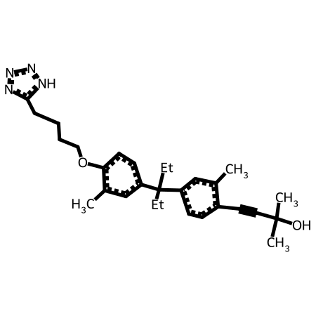 CCC(CC)(c1ccc(C#CC(C)(C)O)c(C)c1)c1ccc(OCCCCc2nnn[nH]2)c(C)c1